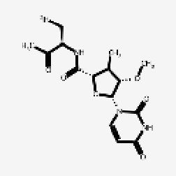 [2H]C[C@@H](NC(=O)[C@H]1O[C@@H](n2ccc(=O)[nH]c2=O)[C@@H](OC)C1C)C(C)=O